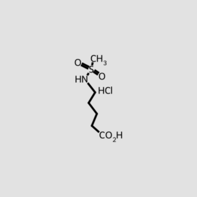 CS(=O)(=O)NCCCCC(=O)O.Cl